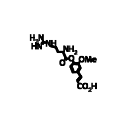 COc1cc(C=CC(=O)O)ccc1OC(=O)[C@@H](N)CCCNC(=N)N